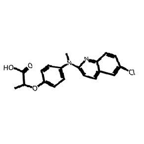 CC(Oc1ccc(N(C)c2ccc3cc(Cl)ccc3n2)cc1)C(=O)O